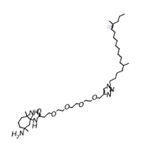 CCC/C(C)=C\CCCCCCCCC(C)CCCCn1cc(COCCOCCOCCOCCC(=O)NC2(C)CC(C)(N)CCCC2(C)N)nn1